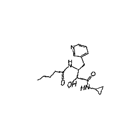 CCCCC(=O)N[C@@H](Cc1cccnc1)C(O)C(=O)NC1CC1